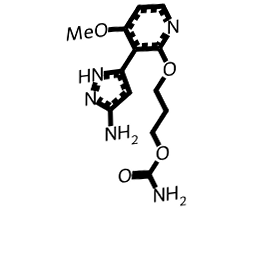 COc1ccnc(OCCCOC(N)=O)c1-c1cc(N)n[nH]1